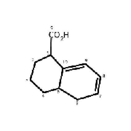 O=C(O)C1CCCC2CC=CC=C21